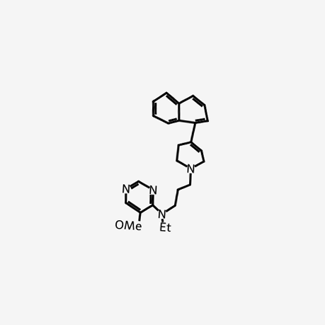 CCN(CCCN1CC=C(c2cccc3ccccc23)CC1)c1ncncc1OC